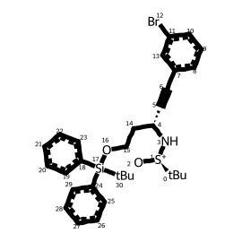 CC(C)(C)[S@@+]([O-])N[C@@H](C#Cc1cccc(Br)c1)CCO[Si](c1ccccc1)(c1ccccc1)C(C)(C)C